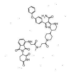 CN(CCC(=O)N1CCC([C@@H]2CCNc3c(C(N)=O)c(-c4ccc(Oc5ccccc5)cc4)nn32)CC1)C(=O)CNc1cccc2c1C(=O)N(C1CCC(=O)NC1=O)C2=O